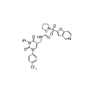 CC(C)n1c(=O)c(CNC(=O)[C@@H]2CCCN2S(=O)(=O)c2cc3cnccc3o2)cn(-c2ccc(C(F)(F)F)cc2)c1=O